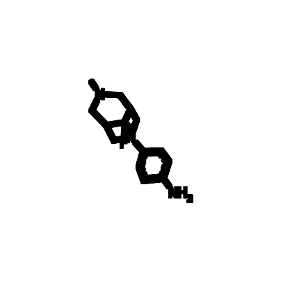 CN1CC2CN(c3ccc(N)cc3)CC(C1)C2(F)F